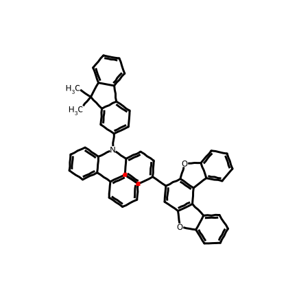 CC1(C)c2ccccc2-c2ccc(N(c3ccc(-c4cc5oc6ccccc6c5c5c4oc4ccccc45)cc3)c3ccccc3-c3ccccc3)cc21